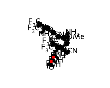 COc1c(CCN)c2cc(-c3cccc(C#N)c3)ccc2n1Cc1ccc(C(F)(F)F)cc1.N#Cc1ccc(COc2ccc3c(c2)c(CCN)cn3Cc2cc(C(F)(F)F)cc(C(F)(F)F)c2)cc1.N#Cc1cccc(COc2ccc3c(c2)c(CCN)cn3Cc2cc(C(F)(F)F)cc(C(F)(F)F)c2)c1.O=C(O)C(F)(F)F.O=C(O)C(F)(F)F.O=C(O)C(F)(F)F